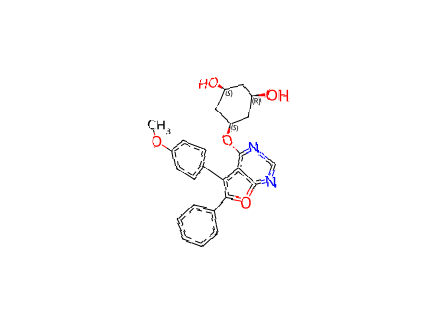 COc1ccc(-c2c(-c3ccccc3)oc3ncnc(O[C@@H]4C[C@H](O)C[C@H](O)C4)c23)cc1